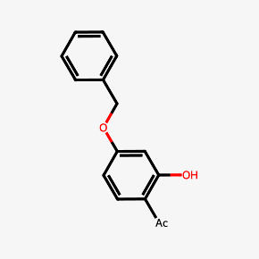 CC(=O)c1ccc(OCc2ccccc2)cc1O